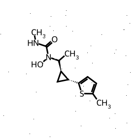 CNC(=O)N(O)C(C)[C@@H]1C[C@H]1c1ccc(C)s1